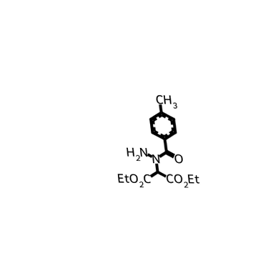 CCOC(=O)C(C(=O)OCC)N(N)C(=O)c1ccc(C)cc1